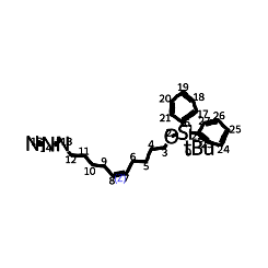 CC(C)(C)[Si](OCCCC/C=C\CCCCN=[N+]=[N-])(c1ccccc1)c1ccccc1